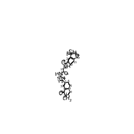 Cn1ccc2ccc(-c3csc(NC(=O)CNC(=O)c4ccc5c(c4)[C@](C)(F)COC5)n3)cc2c1=O